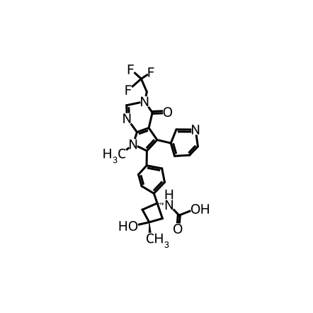 Cn1c(-c2ccc([C@]3(NC(=O)O)C[C@@](C)(O)C3)cc2)c(-c2cccnc2)c2c(=O)n(CC(F)(F)F)cnc21